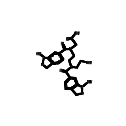 O=C(O)CN(CCN(CCO)C(=O)c1ccc2c(c1)B(O)OC2)C(=O)c1ccc2c(c1)B(O)OC2